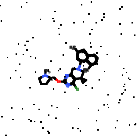 Cc1cc(N2Cc3nc(OC[C@@H]4CCCN4C)nc(Cl)c3C3(CC3)C2)c2c(C)cccc2c1